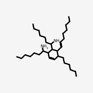 CCCCCCC=CC1C(CCCCCC)C=CC(C(N)CCCCCC)C1C(N)CCCCCC